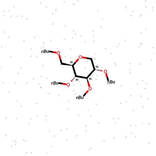 CCCCOC[C@H]1OC[C@H](OCCCC)[C@@H](OCCCC)[C@@H]1OCCCC